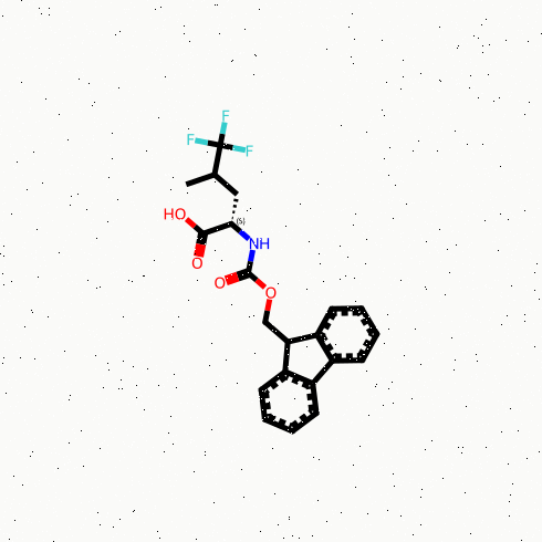 CC(C[C@H](NC(=O)OCC1c2ccccc2-c2ccccc21)C(=O)O)C(F)(F)F